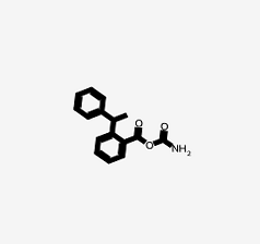 CC(c1ccccc1)c1ccccc1C(=O)OC(N)=O